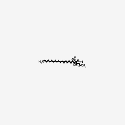 CCCCCCCCCCCCCCCCCC(=O)C(O)C(O)(CO)C(=O)CCC